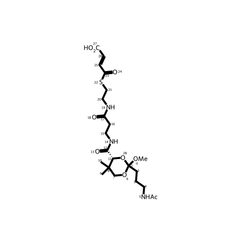 COC1(CCCNC(C)=O)OCC(C)(C)[C@H](C(=O)NCCC(=O)NCCSC(=O)/C=C/C(=O)O)O1